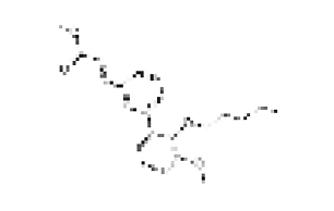 CCCCCOc1c(OC)cccc1-c1cccc(/C=C/C(=O)OC)c1